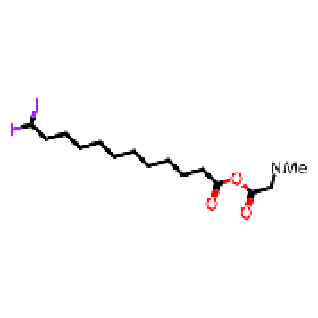 CNCC(=O)OC(=O)CCCCCCCCCCC(I)I